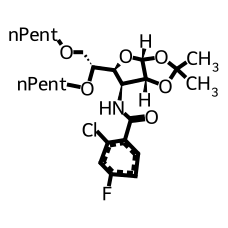 CCCCCOC[C@@H](OCCCCC)[C@H]1O[C@@H]2OC(C)(C)O[C@@H]2[C@H]1NC(=O)c1ccc(F)cc1Cl